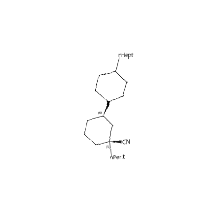 CCCCCCCC1CCC([C@@H]2CCC[C@@](C#N)(CCCCC)C2)CC1